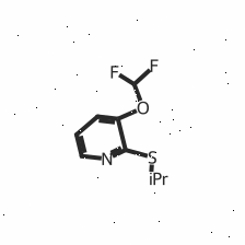 CC(C)Sc1ncccc1OC(F)F